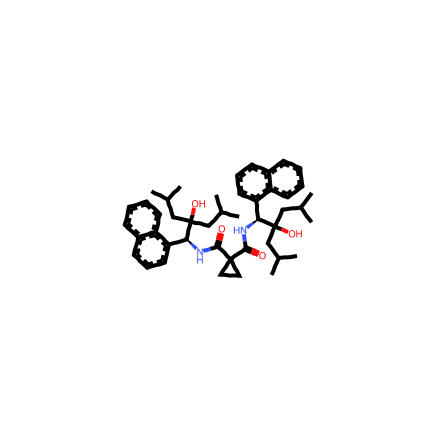 CC(C)CC(O)(CC(C)C)[C@@H](NC(=O)C1(C(=O)N[C@@H](c2cccc3ccccc23)C(O)(CC(C)C)CC(C)C)CC1)c1cccc2ccccc12